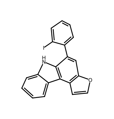 Ic1ccccc1-c1cc2occc2c2c1[nH]c1ccccc12